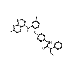 CCC(C(=O)Nc1ccc(Sc2ccc(C)cc2Nc2ccnc3nc(C)ccc23)cc1)c1ccccc1